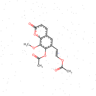 COc1c(OC(C)=O)c(/C=C/OC(C)=O)cc2ccc(=O)oc12